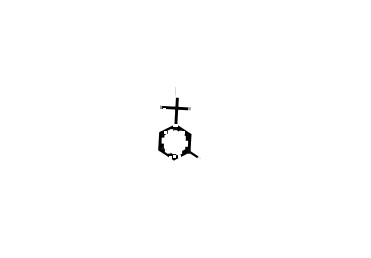 FC(F)(F)c1cccc(C(F)(Cl)Cl)c1